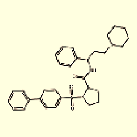 O=C(NC(CCN1CCCCC1)c1ccccc1)C1SCCN1S(=O)(=O)c1ccc(-c2ccccc2)cc1